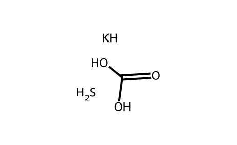 O=C(O)O.S.[KH]